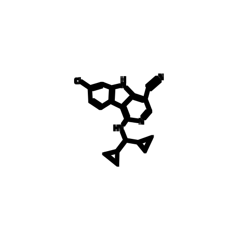 N#Cc1cnc(NC(C2CC2)C2CC2)c2c1[nH]c1cc(Cl)ccc12